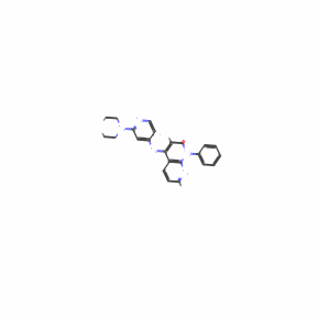 N#Cc1c(Nc2ccnc(N3CCSCC3)c2)c2ccc(C(F)(F)F)nc2n(-c2ccccc2)c1=O